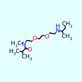 CCC(C)NCCOCCOCCN(C)C(=O)C(C)C